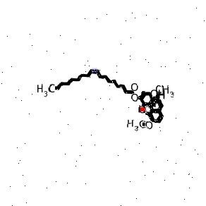 CCCCCCCC/C=C\CCCCCCCC(=O)OC1=CC[C@]2(O)[C@@H]3Cc4ccc(OC)c5c4[C@]2(CCN3C)[C@@H]1O5